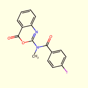 CN(C(=O)c1ccc(I)cc1)c1nc2ccccc2c(=O)o1